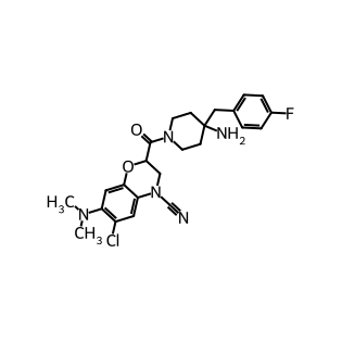 CN(C)c1cc2c(cc1Cl)N(C#N)CC(C(=O)N1CCC(N)(Cc3ccc(F)cc3)CC1)O2